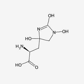 N[C@@H](CC1(O)CN(O)C(O)=N1)C(=O)O